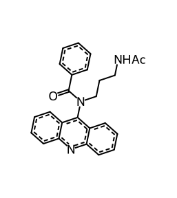 CC(=O)NCCCN(C(=O)c1ccccc1)c1c2ccccc2nc2ccccc12